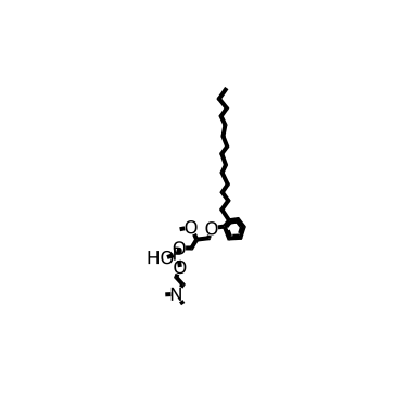 CCCCCCCCCCCCCCc1ccccc1OCC(COP(O)OCCN(C)C)OC